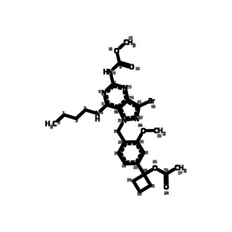 CCCCNc1nc(NC(=O)OC)nc2c(Br)nn(Cc3ccc(C4(OC(C)=O)CCC4)cc3OC)c12